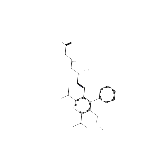 COCc1c(C(C)C)nc(C(C)C)c(/C=C/[C@@H](O)C[C@@H](O)CC(=O)O)c1-c1ccccc1